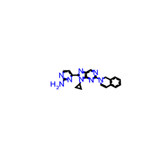 Nc1nccc(-c2nc3cnc(N4C=Cc5ccccc5C4)nc3n2C2CC2)n1